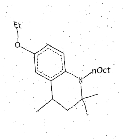 CCCCCCCCN1c2ccc(OCC)cc2C(C)CC1(C)C